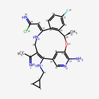 CC(=N)/C1=C(\NCC2CC2)c2cnc(N)c(c2)O[C@H](C)c2cc(F)ccc2/C(=C/C(=N)Cl)NC1